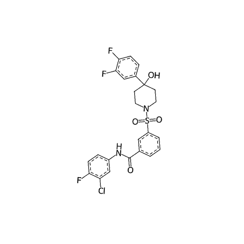 O=C(Nc1ccc(F)c(Cl)c1)c1cccc(S(=O)(=O)N2CCC(O)(c3ccc(F)c(F)c3)CC2)c1